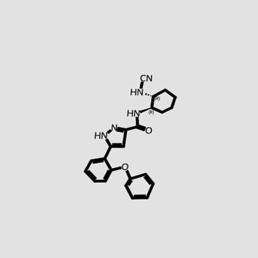 N#CN[C@@H]1CCCC[C@H]1NC(=O)c1cc(-c2ccccc2Oc2ccccc2)[nH]n1